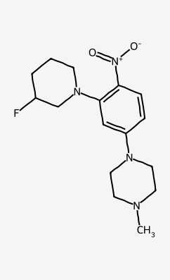 CN1CCN(c2ccc([N+](=O)[O-])c(N3CCCC(F)C3)c2)CC1